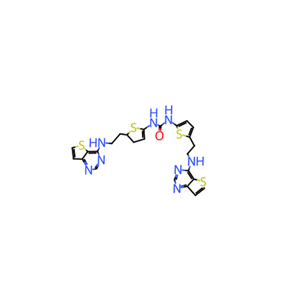 O=C(NC1=CCC(CCNc2ncnc3ccsc23)S1)Nc1ccc(CCNc2ncnc3ccsc23)s1